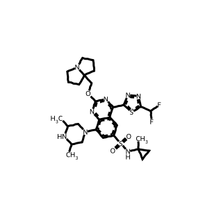 CC1CN(c2cc(S(=O)(=O)NC3(C)CC3)cc3c(-c4nnc(C(F)F)s4)nc(OCC45CCCN4CCC5)nc23)CC(C)N1